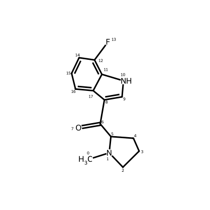 CN1CCCC1C(=O)c1c[nH]c2c(F)cccc12